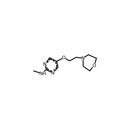 CNc1ncc(OCCN2CCOCC2)cn1